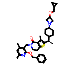 Cc1cc(C)c(CN2CCc3sc([C@H](C)C4CCC(N5CC(OCC6CC6)C5)CC4)c(C)c3C2=O)c(OCc2ccccc2)n1